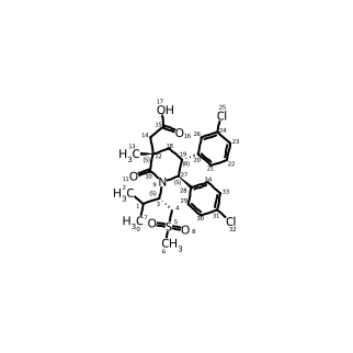 CC(C)[C@@H](CS(C)(=O)=O)N1C(=O)[C@](C)(CC(=O)O)C[C@H](c2cccc(Cl)c2)[C@H]1c1ccc(Cl)cc1